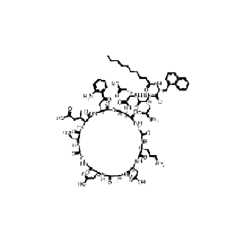 CCCCCCCCCC(=O)N[C@@H](Cc1cccc2ccccc12)C(=O)N[C@H](CC(N)=O)C(=O)N[C@@H](CC(=O)O)C(=O)N[C@@H]1C(=O)NCC(=O)N[C@@H](CCCN)C(=O)N[C@@H](CC(=O)O)C(=O)N[C@H](C)C(=O)N[C@@H](CC(=O)O)C(=O)NCC(=O)N[C@H](CO)C(=O)NC(C(C)CC(=O)O)C(=O)N[C@@H](CC(=O)c2ccccc2N)C(=O)O[C@@H]1C